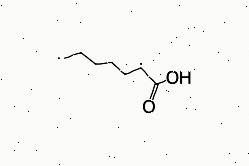 [CH2]CCCC[CH]C(=O)O